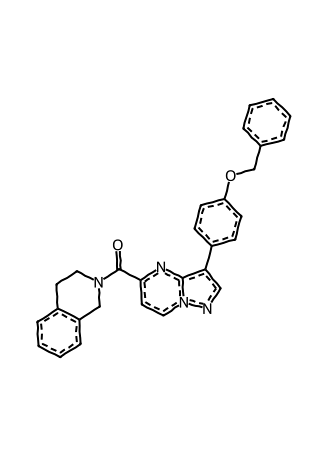 O=C(c1ccn2ncc(-c3ccc(OCc4ccccc4)cc3)c2n1)N1CCc2ccccc2C1